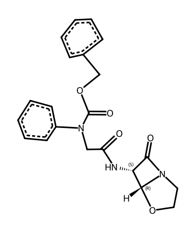 O=C(CN(C(=O)OCc1ccccc1)c1ccccc1)N[C@@H]1C(=O)N2CCO[C@H]12